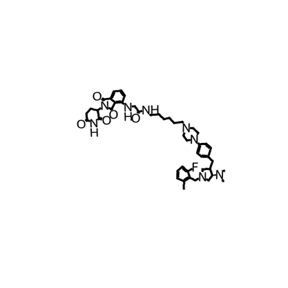 Cc1cccc(F)c1CN1CC(Cc2ccc(N3CCN(CCCCCCNC(=O)CNc4cccc5c4C(=O)N(C4CCC(=O)NC4=O)C5=O)CC3)cc2)[C@@H](N(C)C)C1